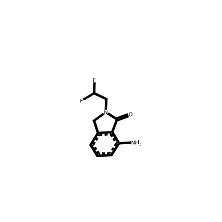 Nc1cccc2c1C(=O)N(CC(F)F)C2